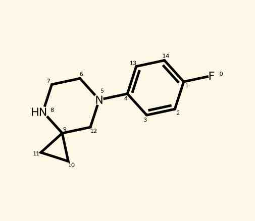 Fc1ccc(N2CCNC3(CC3)C2)cc1